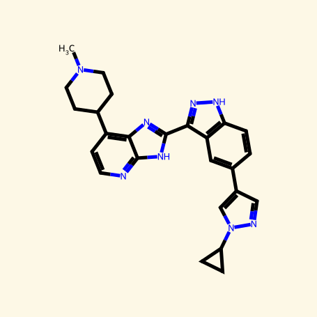 CN1CCC(c2ccnc3[nH]c(-c4n[nH]c5ccc(-c6cnn(C7CC7)c6)cc45)nc23)CC1